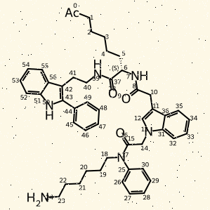 CC(=O)CCCCC[C@H](NC(=O)Cc1cn(CC(=O)N(CCCCCCN)c2ccccc2)c2ccccc12)C(=O)NCCc1c(-c2ccccc2)[nH]c2ccccc12